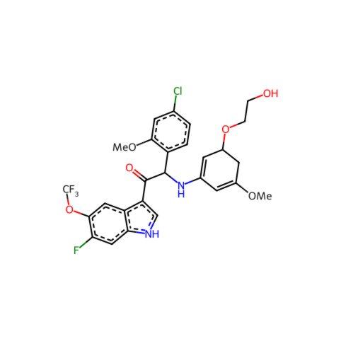 COC1=CC(NC(C(=O)c2c[nH]c3cc(F)c(OC(F)(F)F)cc23)c2ccc(Cl)cc2OC)=CC(OCCO)C1